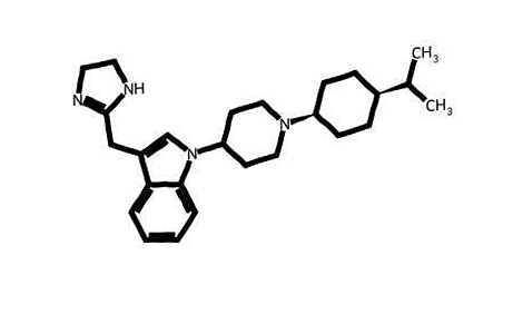 CC(C)[C@H]1CC[C@@H](N2CCC(n3cc(CC4=NCCN4)c4ccccc43)CC2)CC1